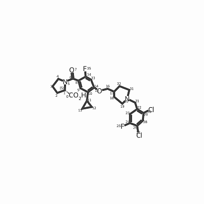 O=C(O)[C@@H]1CCCN1C(=O)c1cc(C2CC2)c(OCC2CCN(Cc3cc(F)c(Cl)cc3Cl)CC2)cc1F